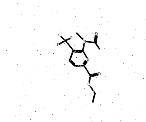 CCOC(=O)c1ccc(C(F)(F)F)c(N(C)C(C)=O)n1